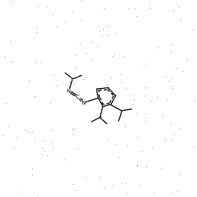 CC(C)N=C=Nc1cccc(C(C)C)c1C(C)C